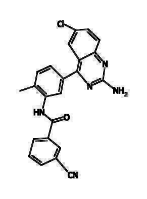 Cc1ccc(-c2nc(N)nc3ccc(Cl)cc23)cc1NC(=O)c1cccc(C#N)c1